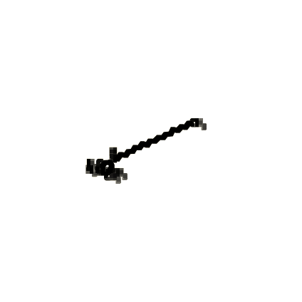 CCCCCCCCCCCCCCCCCCCCCNC1CC(C)(C)NC(C)(C)C1